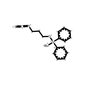 CC(C)(C)[Si](OCCCN=C=S)(c1ccccc1)c1ccccc1